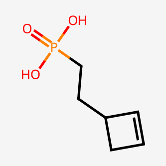 O=P(O)(O)CCC1C=CC1